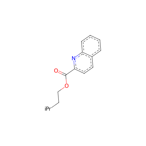 CC(C)CCOC(=O)c1ccc2ccccc2n1